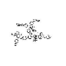 COc1ccc(C(c2ccc(OC)cc2)n2c(=O)n(C)c3c(Oc4cc(N5CCN(CC6=C(c7ccc(Cl)cc7)CC(C)(C)CC6)CC5)ccc4C(=O)NS(=O)(=O)c4cnc(OCC5CCOCC5)c(Cl)c4)cccc32)cc1